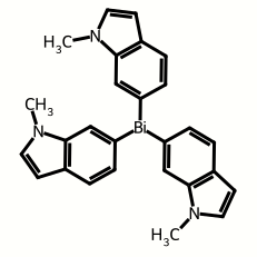 Cn1ccc2cc[c]([Bi]([c]3ccc4ccn(C)c4c3)[c]3ccc4ccn(C)c4c3)cc21